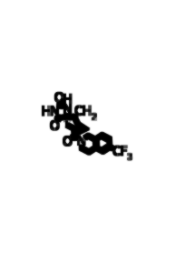 C=C(C1CC1)[C@]1(CCC(=O)N2CCc3cc(C(F)(F)F)ccc3C2)NC(=O)NC1=O